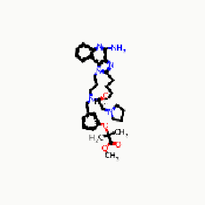 CCCCc1nc2c(N)nc3ccccc3c2n1CCCN(Cc1cccc(OC(C)(C)C(=O)OC)c1)C(=O)CN1CCCC1